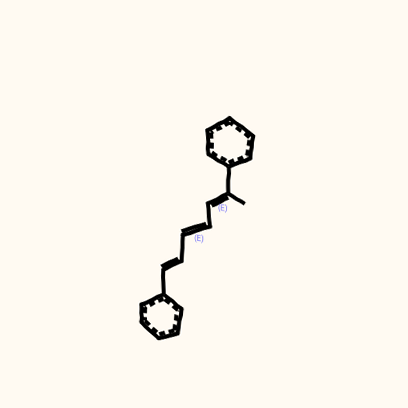 C/C(=C\C=C\C=Cc1ccccc1)c1ccccc1